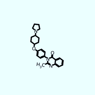 Cc1nc2ccccc2c(=O)n1-c1ccc(OC2CCC(N3CCCC3)CC2)cc1